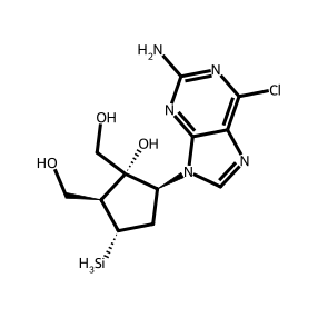 Nc1nc(Cl)c2ncn([C@H]3C[C@H]([SiH3])[C@@H](CO)[C@@]3(O)CO)c2n1